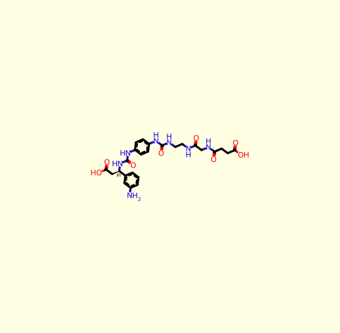 Nc1cccc([C@@H](CC(=O)O)NC(=O)Nc2ccc(NC(=O)NCCNC(=O)CNC(=O)CCC(=O)O)cc2)c1